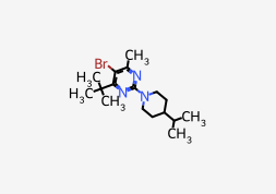 Cc1nc(N2CCC(C(C)C)CC2)nc(C(C)(C)C)c1Br